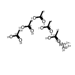 CC(=O)[O-].CC(=O)[O-].CC(=O)[O-].CC(=O)[O-].CC(=O)[O-].[Au+3].[Mn+2]